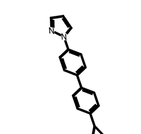 c1cnn(-c2ccc(-c3ccc(C4CC4)cc3)cc2)c1